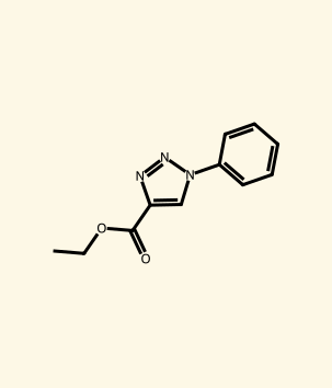 CCOC(=O)c1cn(-c2ccccc2)nn1